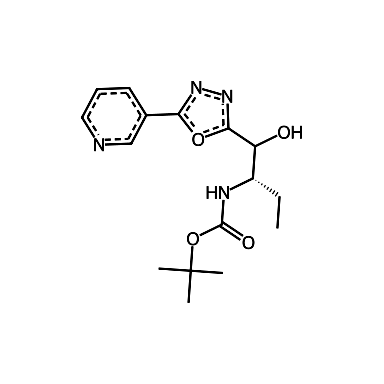 CC[C@H](NC(=O)OC(C)(C)C)C(O)c1nnc(-c2cccnc2)o1